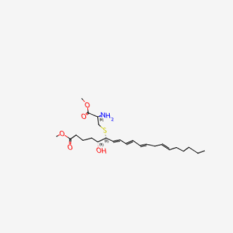 CCCCCC=CCC=CC=CC=C[C@@H](SC[C@H](N)C(=O)OC)[C@H](O)CCCC(=O)OC